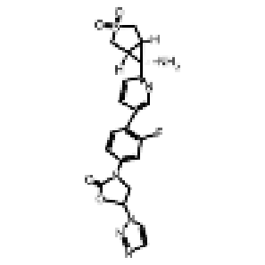 N[C@]1(c2ccc(-c3ccc(N4CC(n5ccnn5)OC4=O)cc3F)cn2)[C@@H]2CS(=O)(=O)C[C@@H]21